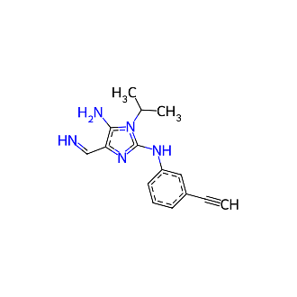 C#Cc1cccc(Nc2nc(C=N)c(N)n2C(C)C)c1